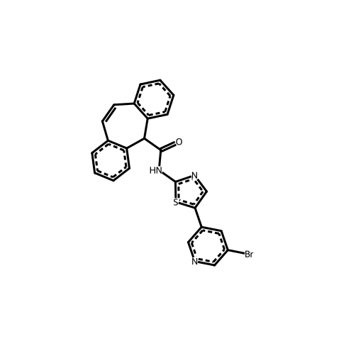 O=C(Nc1ncc(-c2cncc(Br)c2)s1)C1c2ccccc2C=Cc2ccccc21